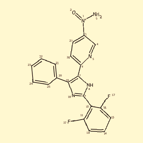 N[N+](=O)c1[c]nc(-c2[nH]c(-c3c(F)cccc3F)nc2-c2ccccc2)cc1